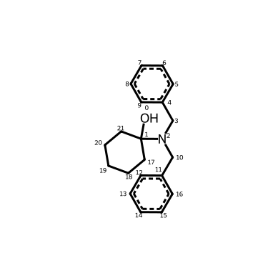 OC1(N(Cc2ccccc2)Cc2ccccc2)CCCCC1